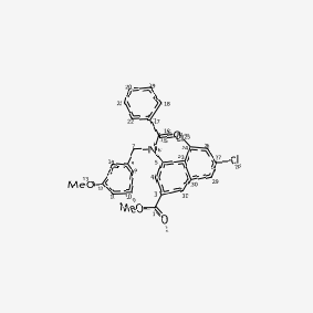 COC(=O)c1cc(N(Cc2cccc(OC)c2)C(=O)c2ccccc2)c2c(Cl)cc(Cl)cc2c1